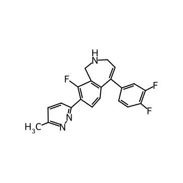 Cc1ccc(-c2ccc3c(c2F)CNCC=C3c2ccc(F)c(F)c2)nn1